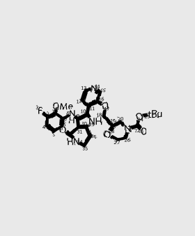 COc1c(F)cccc1Nc1c(-c2ccncc2OCC2CN(C(=O)OC(C)(C)C)CCO2)[nH]c2c1C(=O)NCC2